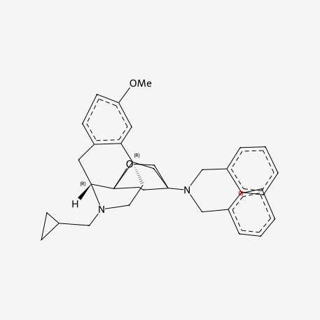 COc1ccc2c(c1)[C@]13CCN(CC4CC4)[C@H](C2)C12CCC(N(Cc1ccccc1)Cc1ccccc1)(CO2)C3